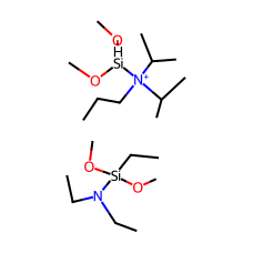 CCC[N+](C(C)C)(C(C)C)[SiH](OC)OC.CCN(CC)[Si](CC)(OC)OC